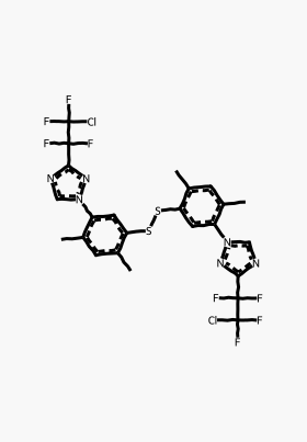 Cc1cc(C)c(-n2cnc(C(F)(F)C(F)(F)Cl)n2)cc1SSc1cc(-n2cnc(C(F)(F)C(F)(F)Cl)n2)c(C)cc1C